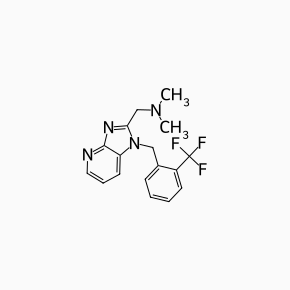 CN(C)Cc1nc2ncccc2n1Cc1ccccc1C(F)(F)F